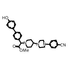 COC(=O)C(c1ccc(-c2ccc(O)cc2)cc1)N1CCC(N2CCN(c3ccc(C#N)cc3)CC2)CC1